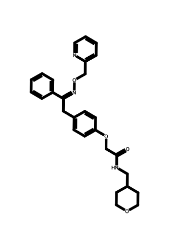 O=C(COc1ccc(CC(=NOCc2ccccn2)c2ccccc2)cc1)NCC1CCOCC1